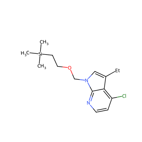 CCc1cn(COCC[Si](C)(C)C)c2nccc(Cl)c12